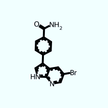 NC(=O)c1ccc(-c2c[nH]c3ncc(Br)cc23)cc1